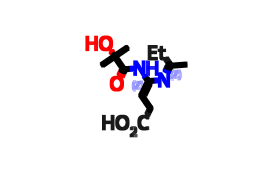 CC/C(C)=N\C(=C/CC(=O)O)NC(=O)C(C)(C)O